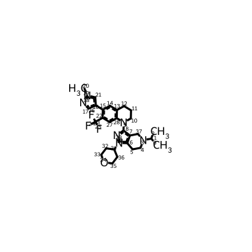 CC(C)N1CCc2c(c(N3CCCc4cc(-c5cnn(C)c5)c(C(F)(F)F)cc43)nn2C2CCOCC2)C1